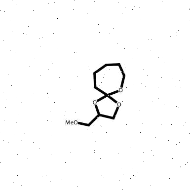 COCC1COC2(CCCCCO2)O1